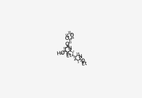 CCOc1ccc(CCc2nc(OCC3COCCO3)cc(O)c2CC)cn1